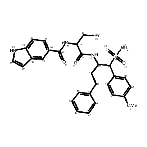 COc1ccc(C(C(CCc2ccccc2)NC(=O)C(CC(C)C)NC(=O)c2ccc3[nH]ccc3c2)S(N)(=O)=O)cc1